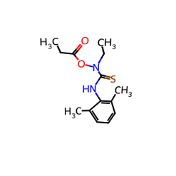 CCC(=O)ON(CC)C(=S)Nc1c(C)cccc1C